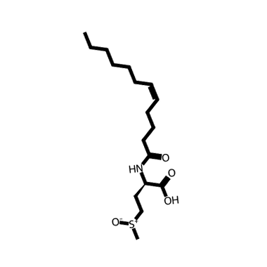 CCCCCC/C=C\CCCC(=O)N[C@H](CC[S+](C)[O-])C(=O)O